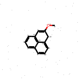 COC1=Cc2cccc3cccc(c23)C1